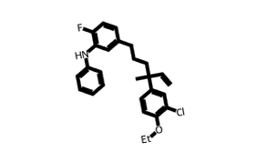 C=CC(C)(CCCc1ccc(F)c(Nc2ccccc2)c1)c1ccc(OCC)c(Cl)c1